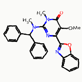 COc1c(-c2nc3ccccc3o2)nc(N(C)C(c2ccccc2)c2ccccc2)n(C)c1=O